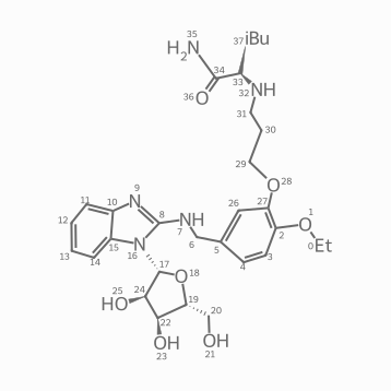 CCOc1ccc(CNc2nc3ccccc3n2[C@@H]2O[C@H](CO)[C@@H](O)[C@H]2O)cc1OCCCN[C@@H](C(N)=O)[C@H](C)CC